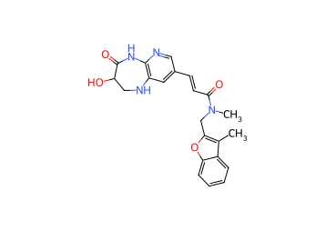 Cc1c(CN(C)C(=O)C=Cc2cnc3c(c2)NCC(O)C(=O)N3)oc2ccccc12